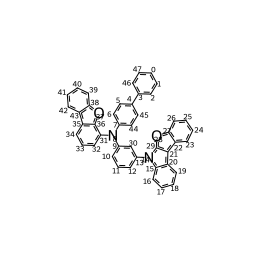 c1ccc(-c2ccc(N(c3cccc(-n4c5ccccc5c5c6ccccc6oc54)c3)c3cccc4c3oc3ccccc34)cc2)cc1